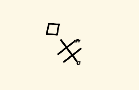 C1CCC1.CCCC(C)(C)C(C)(C)Cl